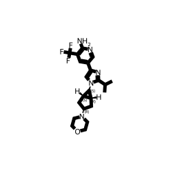 CC(C)c1nc(-c2cnc(N)c(C(F)(F)F)c2)cn1[C@@H]1[C@@H]2C[C@H](N3CCOCC3)C[C@@H]21